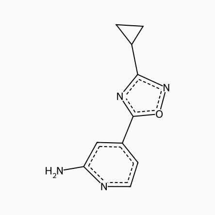 Nc1cc(-c2nc(C3CC3)no2)ccn1